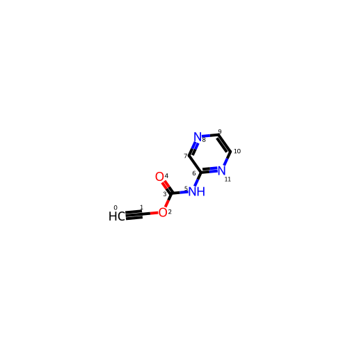 C#COC(=O)Nc1cnccn1